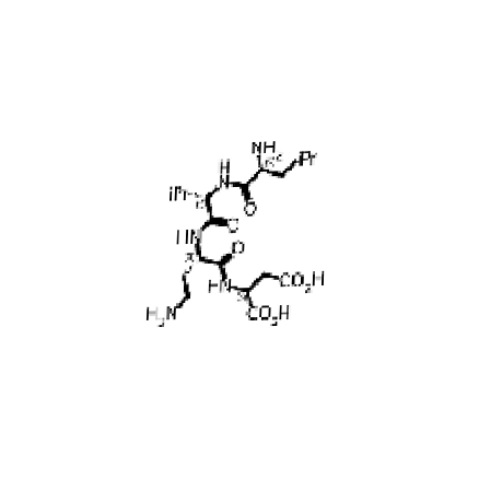 CC(C)C[C@H](N)C(=O)N[C@H](C(=O)N[C@@H](CCN)C(=O)N[C@@H](CC(=O)O)C(=O)O)C(C)C